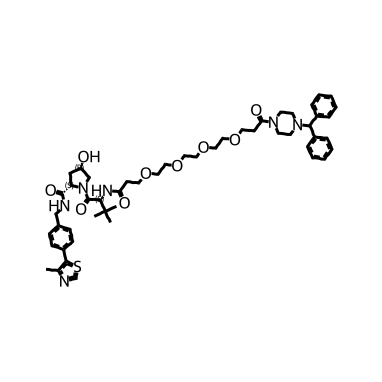 Cc1ncsc1-c1ccc(CNC(=O)[C@@H]2C[C@@H](O)CN2C(=O)[C@@H](NC(=O)CCOCCOCCOCCOCCC(=O)N2CCN(C(c3ccccc3)c3ccccc3)CC2)C(C)(C)C)cc1